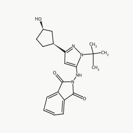 CC(C)(C)n1nc([C@H]2CC[C@@H](O)C2)cc1NN1C(=O)c2ccccc2C1=O